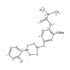 COc1cc(CN2CCN(c3ccccc3F)CC2)ccc1OC(=O)N(C)C